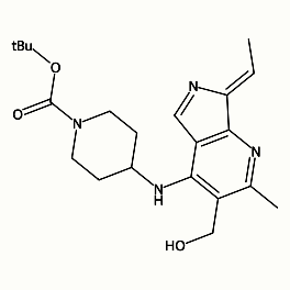 C/C=C1\N=Cc2c1nc(C)c(CO)c2NC1CCN(C(=O)OC(C)(C)C)CC1